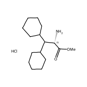 COC(=O)[C@@H](N)C(C1CCCCC1)C1CCCCC1.Cl